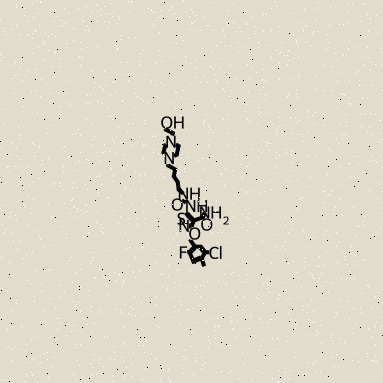 Cc1cc(F)c(COc2nsc(NC(=O)NCCCCCN3CCN(CCO)CC3)c2C(N)=O)cc1Cl